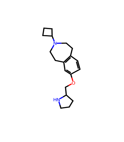 c1cc2c(cc1OCC1CCCN1)CCN(C1CCC1)CC2